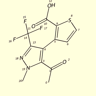 CC(=O)c1c(-c2ccsc2C(=O)O)c(C(F)(F)F)nn1C